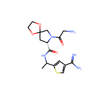 CC(NC(=O)[C@@H]1CC2(CN1C(=O)CN)OCCO2)c1cc(C(=N)N)cs1